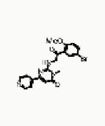 COc1ccc(Br)cc1C(=O)CNc1nc(-c2ccncc2)cc(=O)n1C